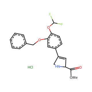 COC(=O)C1C=C(c2ccc(OC(F)F)c(OCc3ccccc3)c2)CN1.Cl